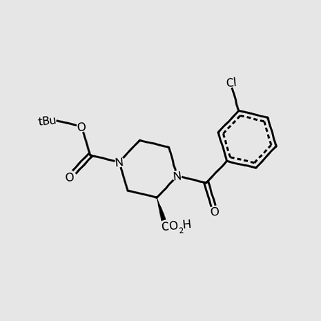 CC(C)(C)OC(=O)N1CCN(C(=O)c2cccc(Cl)c2)[C@@H](C(=O)O)C1